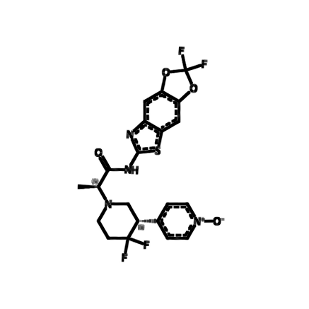 C[C@@H](C(=O)Nc1nc2cc3c(cc2s1)OC(F)(F)O3)N1CCC(F)(F)[C@@H](c2cc[n+]([O-])cc2)C1